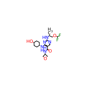 C[C@@H](COC(F)F)Nc1ncc(C(=O)NC2COC2)c(N[C@H]2CC[C@H](O)CC2)n1